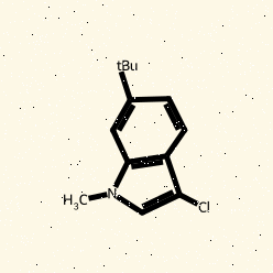 Cn1cc(Cl)c2ccc(C(C)(C)C)cc21